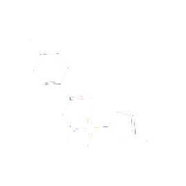 CN(CC(=O)c1ccc(F)cc1)S(=O)(=O)c1ccc(Br)s1